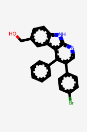 OCc1ccc2[nH]c3ncc(-c4ccc(Br)cc4)c(-c4ccccc4)c3c2c1